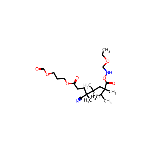 CCOCNOC(=O)C(C)(CC(C)(C)C(C)(C#N)CCC(=O)OCCCOC=O)C(C)C